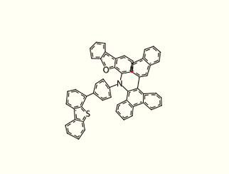 c1ccc2cc(-c3c(N(c4ccc(-c5cccc6c5sc5ccccc56)cc4)c4cccc5c4oc4ccccc45)c4ccccc4c4ccccc34)ccc2c1